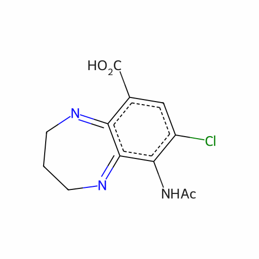 CC(=O)Nc1c(Cl)cc(C(=O)O)c2c1=NCCCN=2